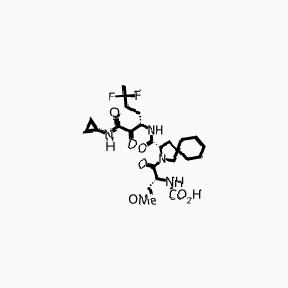 COC[C@@H](NC(=O)O)C(=O)N1CC2(CCCCC2)C[C@H]1C(=O)N[C@@H](CCC(C)(F)F)C(=O)C(=O)NC1CC1